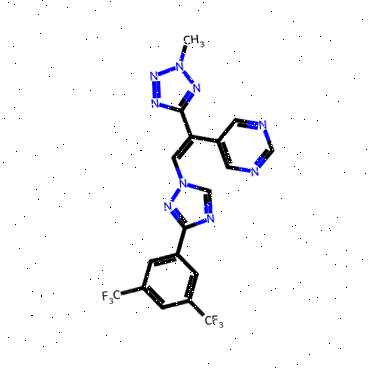 Cn1nnc(C(=Cn2cnc(-c3cc(C(F)(F)F)cc(C(F)(F)F)c3)n2)c2cncnc2)n1